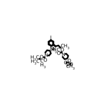 CC(C)(C)OC(=O)N1CCC(n2nc(CC(C)(C)OC(=O)N3CCC(OS(C)(=O)=O)CC3)c3cc(I)ccc32)CC1